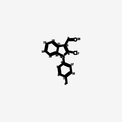 Cc1ccc(-n2c(Cl)c(C=O)c3ccccc32)cc1